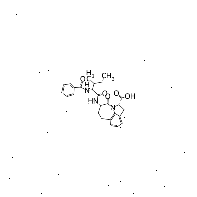 CCC(C)C(NC(=O)c1ccccc1)C(=O)N[C@H]1CCc2cccc3c2N(C1=O)[C@H](C(=O)O)C3